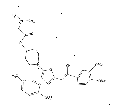 COc1ccc(/C(C#N)=C/c2ccc(N3CCC(OC(=O)CN(C)C)CC3)s2)cc1OC.Cc1ccc(S(=O)(=O)O)cc1